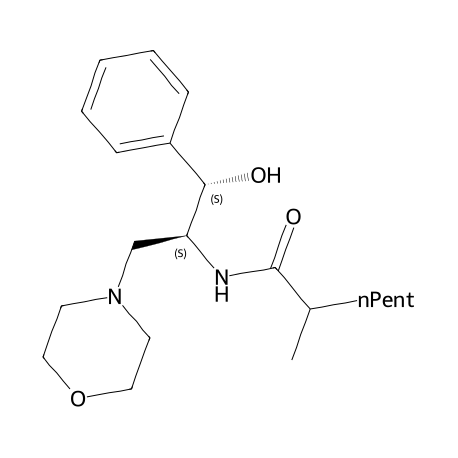 CCCCCC(C)C(=O)N[C@@H](CN1CCOCC1)[C@@H](O)c1ccccc1